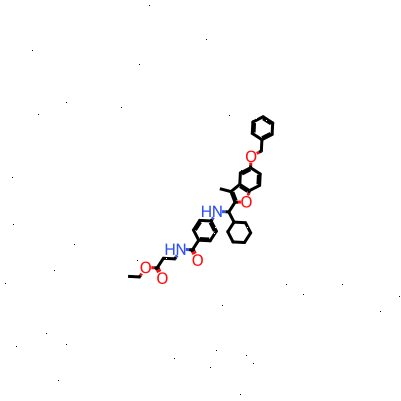 CCOC(=O)CCNC(=O)c1ccc(NC(c2oc3ccc(OCc4ccccc4)cc3c2C)C2CCCCC2)cc1